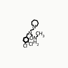 CCN.O=CN(CCN1CCCCCC1)Cc1ccc(Cl)c(Cl)c1